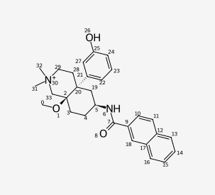 CO[C@]12CC[C@H](NC(=O)c3ccc4ccccc4c3)C[C@]1(c1cccc(O)c1)CC[N+](C)(C)C2